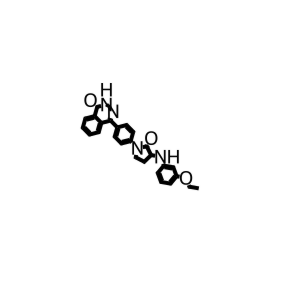 CCOc1cccc(NC2CCN(c3ccc(-c4n[nH]c(=O)c5ccccc45)cc3)C2=O)c1